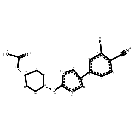 N#Cc1ccc(-c2cnc(O[C@H]3CC[C@@H](CC(=O)O)CC3)nc2)cc1F